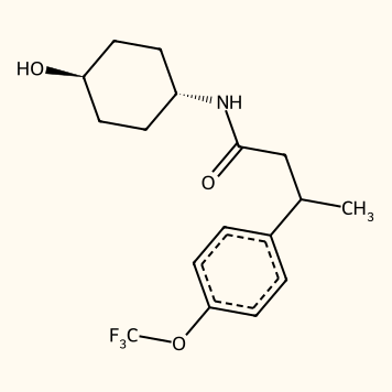 CC(CC(=O)N[C@H]1CC[C@H](O)CC1)c1ccc(OC(F)(F)F)cc1